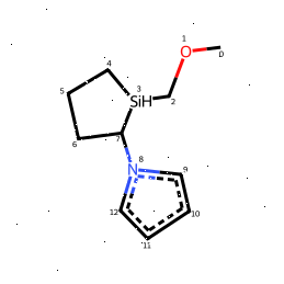 COC[SiH]1CCCC1n1cccc1